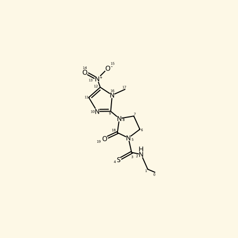 CCNC(=S)N1CCN(c2ncc([N+](=O)[O-])n2C)C1=O